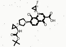 CC(C)(C)OC(=O)NC1([C@@H]2CCN(c3ccc4c(=O)c(C(=O)O)cn([C@@H]5C[C@@H]5F)c4c3Cl)C2)CC1